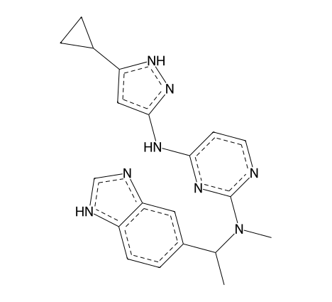 CC(c1ccc2[nH]cnc2c1)N(C)c1nccc(Nc2cc(C3CC3)[nH]n2)n1